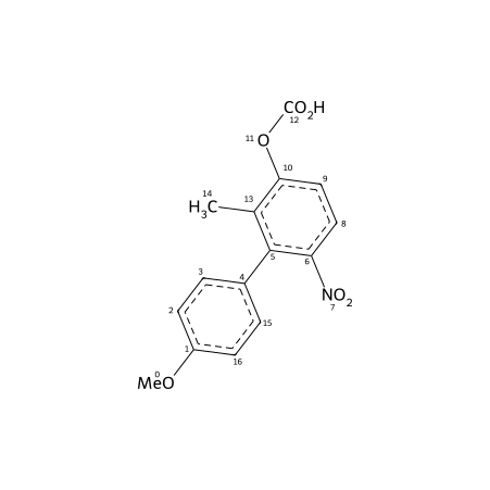 COc1ccc(-c2c([N+](=O)[O-])ccc(OC(=O)O)c2C)cc1